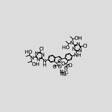 CC(O)N(c1nc(Cl)nc(Nc2ccc(C=Cc3ccc(Nc4nc(Cl)nc(N(C(C)O)C(C)O)n4)cc3S(=O)(=O)[O-])c(S(=O)(=O)[O-])c2)n1)C(C)O.[Na+].[Na+]